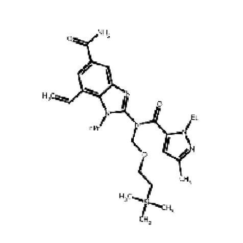 C=Cc1cc(C(N)=O)cc2nc(N(COCC[Si](C)(C)C)C(=O)c3cc(C)nn3CC)n(CCC)c12